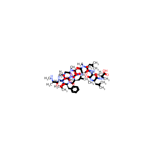 CN[C@@H](C)C(=O)N[C@@H](CC(C)C)C(=O)N(C)CC(=O)N(C)[C@@H](C)C(=O)N[C@@H](CC(C)C)C(=O)N(C)[C@@H](Cc1ccccc1)C(=O)N(C)[C@@H](C)C(=O)NCC(=O)N[C@@H](CC(C)C)C(=O)N(C)[C@@H](CC(C)C)C(=O)N[C@@H](C)C(=O)N(C)[C@@H](CC(C)C)C(=O)NC(C)(C)C(=O)O